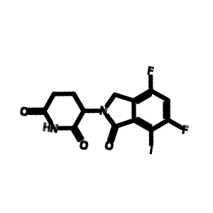 O=C1CCC(N2Cc3c(F)cc(F)c(I)c3C2=O)C(=O)N1